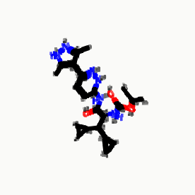 Cc1n[nH]c(C)c1-c1ccc(NC(=O)[C@@H](NC(=O)OC(C)C)C(C2CC2)C2CC2)nn1